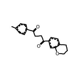 Cc1ccc(C(=O)CCC(=O)c2ccc3c(c2)OCCC3)cc1